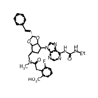 CCNC(=O)Nc1ncnc2c1ncn2C1CC(CN(C)C(=O)Cc2c(F)cccc2C(=O)O)C2O[C@H](/C=C/c3ccccc3)OC21